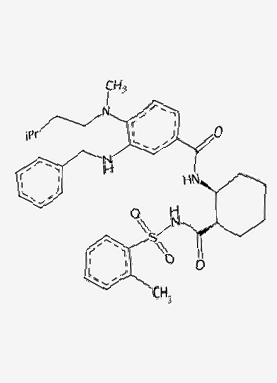 Cc1ccccc1S(=O)(=O)NC(=O)[C@@H]1CCCC[C@@H]1NC(=O)c1ccc(N(C)CCC(C)C)c(NCc2ccccc2)c1